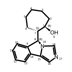 O[C@@H]1CCCCC[C@H]1[C@@H]1c2ccccc2-c2cncn21